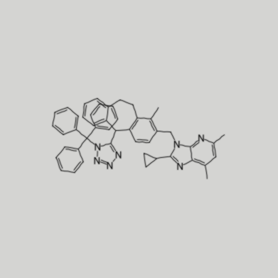 Cc1cc(C)c2nc(C3CC3)n(Cc3ccc4c(c3C)CCc3ccccc3C4c3nnnn3C(c3ccccc3)(c3ccccc3)c3ccccc3)c2n1